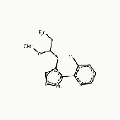 O=COC(Cc1cn[nH]c1-c1ncccc1Cl)CC(F)(F)F